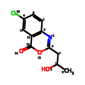 CC(O)Cc1nc2ccc(Cl)cc2c(=O)o1